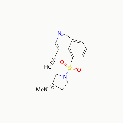 C#Cc1cncc2cccc(S(=O)(=O)N3CC[C@H](NC)C3)c12